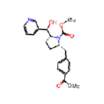 COC(=O)c1ccc(C[C@@H]2CC[C@H]([C@H](O)c3cccnc3)N2C(=O)OC(C)(C)C)cc1